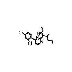 CCCC(C)c1c(CC)nn2c(-c3ccc(Cl)cc3Cl)ccnc12